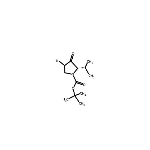 CC(C)[C@H]1C(=O)C(Br)CN1C(=O)OC(C)(C)C